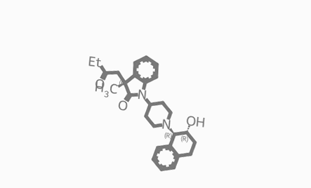 CCC(=O)C[C@@]1(C)C(=O)N(C2CCN([C@@H]3c4ccccc4CC[C@H]3O)CC2)c2ccccc21